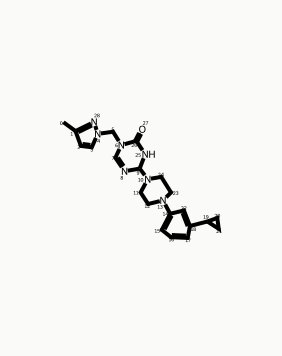 Cc1ccn(CN2C=NC(N3CCN(c4cccc(C5CC5)c4)CC3)NC2=O)n1